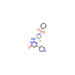 Cn1c(N[C@@H]2CN(S(=O)(=O)c3ccccc3)C[C@@H]2F)nc(-c2ccncc2)cc1=O